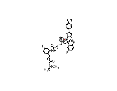 C[C@@H](c1nc(-c2ccc(C#N)cc2)cs1)[C@](O)(C[N+]1(CCOC(=O)Nc2cc(F)ccc2COC(=O)CN(C)C)C=NC=N1)c1cc(F)ccc1F